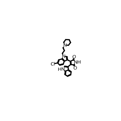 O=C1NC(=O)C(c2cn(CCCN3CCCCC3)c3cc(Cl)ccc23)=C1c1c[nH]c2ccccc12